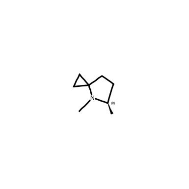 C[C@@H]1CCC2(CC2)N1C